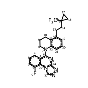 Fc1cccc2c(N3CCCc4c(CCC5(C(F)(F)F)CC5)cccc43)nc3nncn3c12